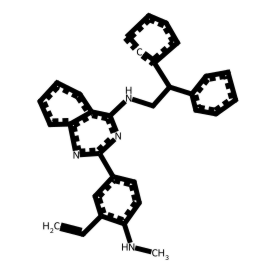 C=Cc1cc(-c2nc(NCC(c3ccccc3)c3ccccc3)c3ccccc3n2)ccc1NC